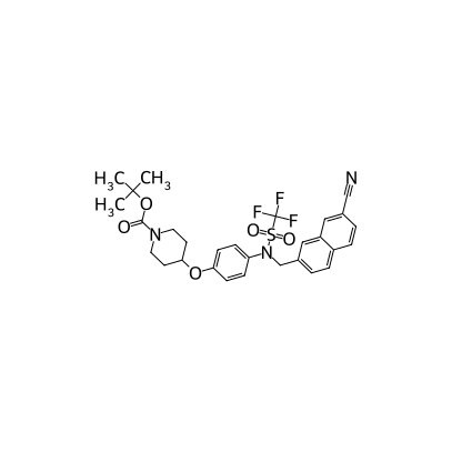 CC(C)(C)OC(=O)N1CCC(Oc2ccc(N(Cc3ccc4ccc(C#N)cc4c3)S(=O)(=O)C(F)(F)F)cc2)CC1